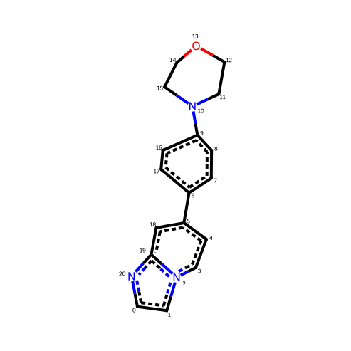 c1cn2ccc(-c3ccc(N4CCOCC4)cc3)cc2n1